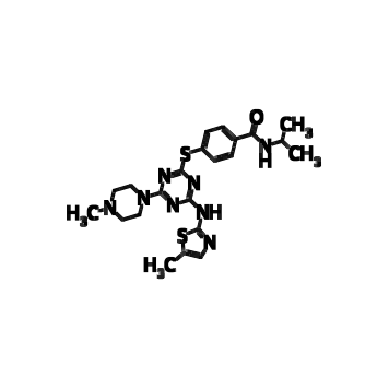 Cc1cnc(Nc2nc(Sc3ccc(C(=O)NC(C)C)cc3)nc(N3CCN(C)CC3)n2)s1